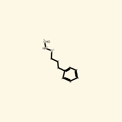 O=CNOCCCc1ccccc1